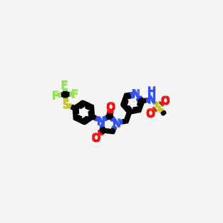 CS(=O)(=O)Nc1cc(CN2CC(=O)N(c3ccc(SC(F)(F)F)cc3)C2=O)ccn1